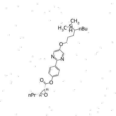 CCCCC(CCCOc1cnc(-c2ccc(OC(=O)[C@@H]3O[C@@H]3CCC)cc2)nc1)[SiH](C)C